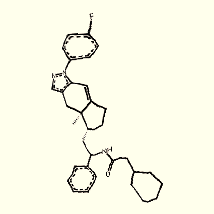 C[C@]12Cc3cnn(-c4ccc(F)cc4)c3C=C1CC[C@@H]2CC(NC(=O)CC1CCCCC1)c1ccccc1